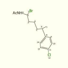 CC(=O)NC(Br)CCCC(C)c1ccc(Cl)cc1